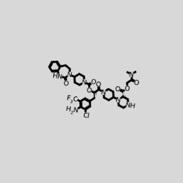 CN(C)C(=O)COC(=O)[C@@H]1CNCCN1C1CCN(C(=O)[C@@H](Cc2cc(Cl)c(N)c(C(F)(F)F)c2)OC(=O)N2CCC(N3CCc4ccccc4NC3=O)CC2)CC1